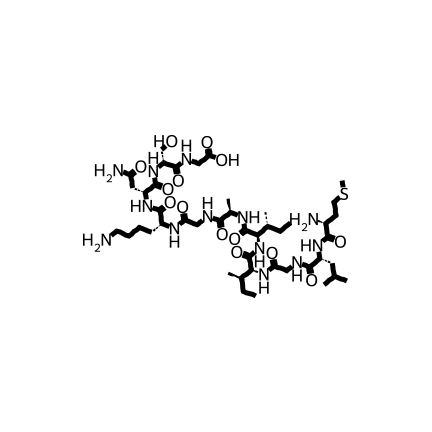 CC[C@@H](C)[C@@H](NC(=O)CNC(=O)[C@@H](CC(C)C)NC(=O)[C@H](N)CCSC)C(=O)N[C@@H](C(=O)N[C@H](C)C(=O)NCC(=O)N[C@H](CCCCN)C(=O)N[C@H](CC(N)=O)C(=O)N[C@H](CO)C(=O)NCC(=O)O)[C@H](C)CC